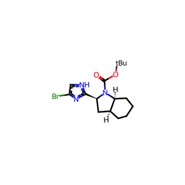 CC(C)(C)OC(=O)N1[C@H](c2nc(Br)c[nH]2)C[C@@H]2CCCC[C@@H]21